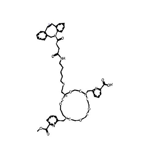 COC(=O)c1cccc(CN2CCOCCOCCN(Cc3cccc(C(=O)O)n3)CCO[C@H](CSCCCCCNC(=O)CCC(=O)N3Cc4ccccc4/C=C\c4ccccc43)COCC2)n1